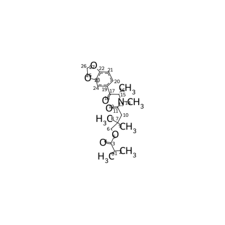 CC(C)C(=O)OCC(C)(C)CC(=O)N(C)[C@@H](C)C(=O)c1ccc2c(c1)OCO2